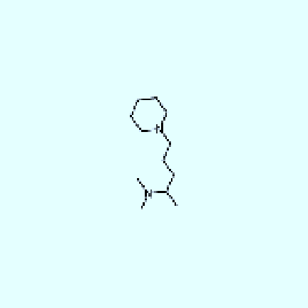 CC(CCCN1CCCCC1)N(C)C